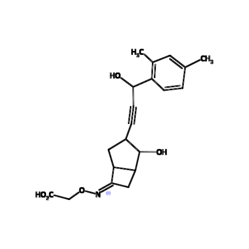 Cc1ccc(C(O)C#CC2CC3/C(=N\OCC(=O)O)CC3C2O)c(C)c1